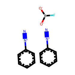 N#[N+]c1ccccc1.N#[N+]c1ccccc1.[O-]B([O-])F